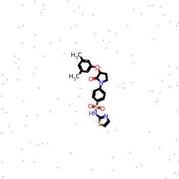 Cc1cc(C)cc(OC2CCN(c3ccc(S(=O)(=O)Nc4nccs4)cc3)C2=O)c1